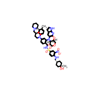 Cc1ccccc1[C@@H]1CCCCN1CC1CCN(c2ccc(C(=O)NS(=O)(=O)c3ccc(NC[C@H]4CC[C@](C)(O)CC4)c([N+](=O)[O-])c3)c(N3c4cc5cc[nH]c5nc4O[C@H]4COCC[C@@H]43)c2)CC1